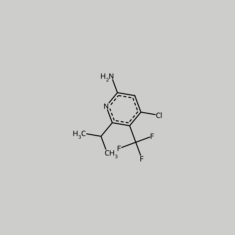 CC(C)c1nc(N)cc(Cl)c1C(F)(F)F